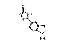 N[C@H]1CCc2cc(-c3noc(=O)[nH]3)ccc21